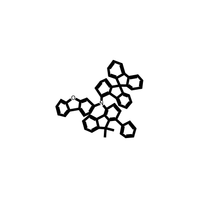 CC1(C)c2ccccc2-c2c(N(c3ccc4c(c3)oc3ccccc34)c3cccc4c3-c3ccccc3C43c4ccccc4-c4ccccc43)ccc(-c3ccccc3)c21